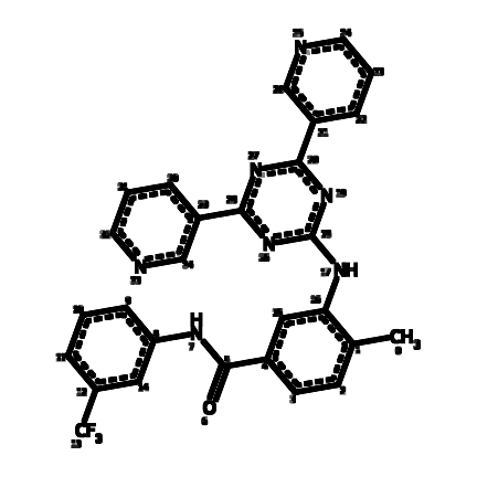 Cc1ccc(C(=O)Nc2cccc(C(F)(F)F)c2)cc1Nc1nc(-c2cccnc2)nc(-c2cccnc2)n1